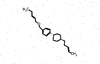 CC=CCC[C@H]1CC[C@H](c2ccc(COCC=CCC)cc2)CC1